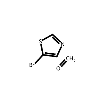 Brc1cncs1.C=O